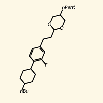 CCCCCC1COC(CCc2ccc(C3CCC(CCCC)CC3)c(F)c2)OC1